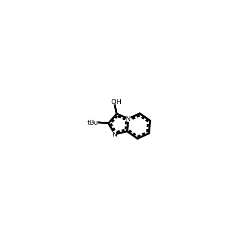 CC(C)(C)c1nc2ccccn2c1O